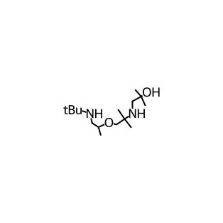 CC(CNC(C)(C)C)OCC(C)(C)NCC(C)(C)O